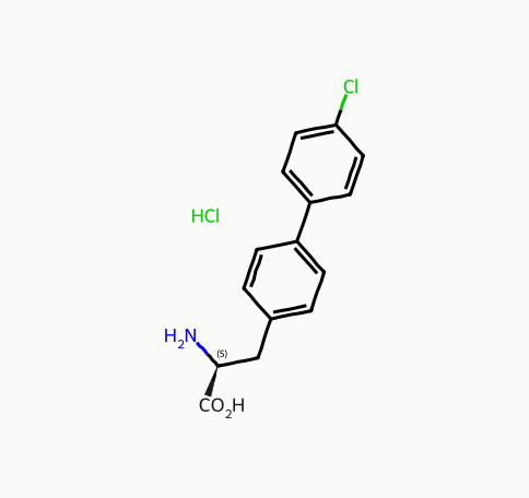 Cl.N[C@@H](Cc1ccc(-c2ccc(Cl)cc2)cc1)C(=O)O